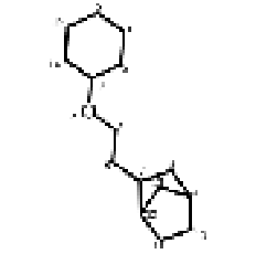 C1CCC(OCCC2CC3CCC2C3)CC1